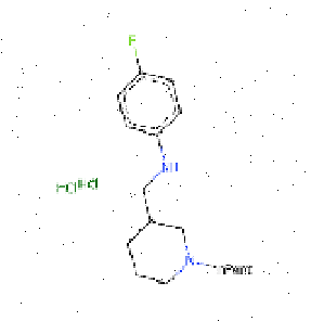 CCCCCN1CCCC(CNc2ccc(F)cc2)C1.Cl.Cl